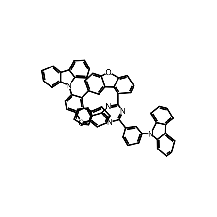 c1ccc(-c2nc(-c3cccc(-n4c5ccccc5c5ccccc54)c3)nc(-c3cccc4oc5ccc(-c6c(-n7c8ccccc8c8ccccc87)ccc7oc8ccccc8c67)cc5c34)n2)cc1